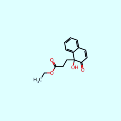 CCOC(=O)CCC1(O)C(=O)C=Cc2ccccc21